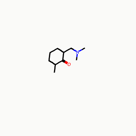 CC1CCCC(CN(C)C)C1=O